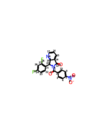 O=C(c1ccc([N+](=O)[O-])cc1)N1C(=O)c2cccnc2C1c1ccc(F)cc1F